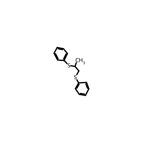 CC(CSc1ccccc1)Sc1ccccc1